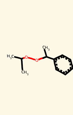 CC(C)OOC(C)c1ccccc1